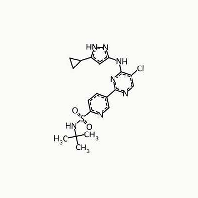 CC(C)(C)NS(=O)(=O)c1ccc(-c2ncc(Cl)c(Nc3cc(C4CC4)[nH]n3)n2)cn1